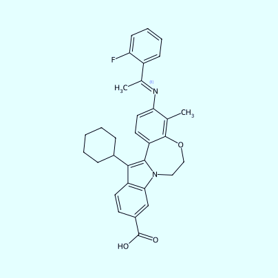 C/C(=N\c1ccc2c(c1C)OCCn1c-2c(C2CCCCC2)c2ccc(C(=O)O)cc21)c1ccccc1F